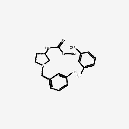 CC(C)(C)OC(=O)NC1CCN(Cc2cccc(C(F)(F)F)c2)C1.O=Cc1cccc(C(F)(F)F)c1